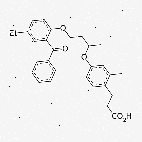 CCc1ccc(OCCC(C)Oc2ccc(CCC(=O)O)c(C)c2)c(C(=O)c2ccccc2)c1